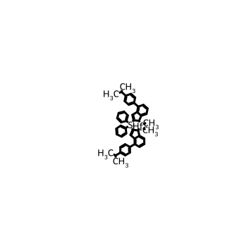 CC(C)c1ccc(-c2cccc3c2C=C2[CH]3[Hf]([CH3])([CH3])[CH]3C(=Cc4c(-c5ccc(C(C)C)cc5)cccc43)[Si]2(c2ccccc2)c2ccccc2)cc1